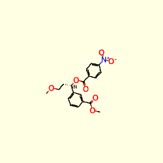 COCC[C@H](OC(=O)c1ccc([N+](=O)[O-])cc1)c1cccc(C(=O)OC)c1